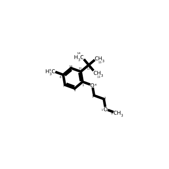 COCCOc1ccc(C)cc1C(C)(C)C